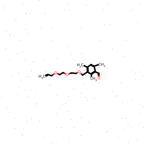 C=CCOCCOCCOCc1c(C)cc(C)c(C=O)c1C